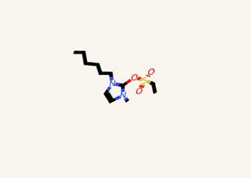 CCCCCCN1C=CN(C)C1OS(=O)(=O)CC